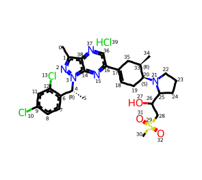 Cc1nn([C@H](C)c2ccc(Cl)cc2Cl)c2nc(C3=CC[C@H](N4CCCC4C(O)CS(C)(=O)=O)[C@H](C)C3)cnc12.Cl